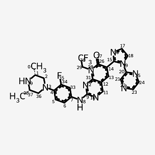 C[C@@H]1CN(c2ccc(Nc3ncc4cc(-c5nccn5-c5cnccn5)c(=O)n(CC(F)(F)F)c4n3)cc2F)C[C@H](C)N1